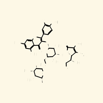 C[C@@H]1O[C@@H](OC[C@H]2O[C@@H](Oc3c(-c4ccc(O)c(O)c4)oc4cc(O)cc(O)c4c3=O)[C@H](O)[C@@H](O)[C@@H]2O)[C@H](O)[C@H](O)[C@H]1O.O=C1O[C@H]([C@@H](O)CO)C([O-])=C1O.[Na+]